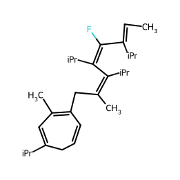 C/C=C(/C(F)=C(\C(=C(\C)CC1=C(C)C=C(C(C)C)CC=C1)C(C)C)C(C)C)C(C)C